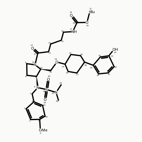 COc1ccc(CN([C@H]2CCN(C(=O)CCCCNC(=O)OC(C)(C)C)[C@H]2COC2CCC(c3cccc(O)c3)CC2)S(=O)(=O)N(C)C)cc1